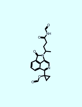 CC(CCC(=O)NC=O)N1C(=O)c2cccc3c(C4(OC=O)CC4)ncc1c23